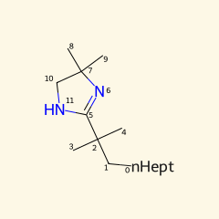 CCCCCCCCC(C)(C)C1=NC(C)(C)CN1